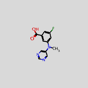 CN(c1cncnc1)c1cc(F)cc(C(=O)O)c1